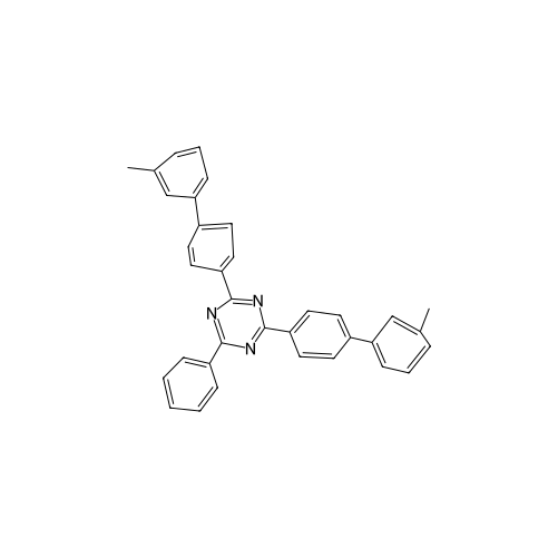 Cc1cccc(-c2ccc(-c3nc(-c4ccccc4)nc(-c4ccc(-c5cccc(C)c5)cc4)n3)cc2)c1